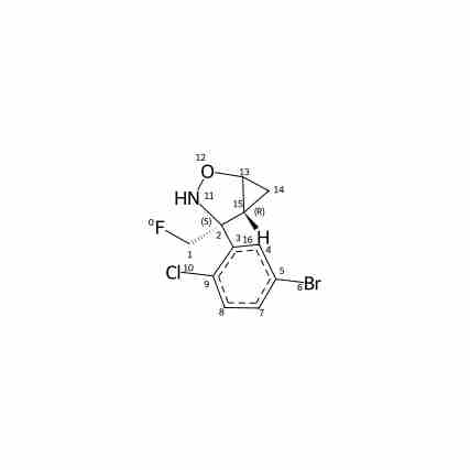 FC[C@]1(c2cc(Br)ccc2Cl)NOC2C[C@@H]21